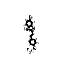 FC(F)(F)Oc1ccc(C=Cc2nc3cc(Br)ccc3[nH]2)cc1